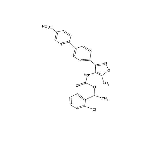 Cc1onc(-c2ccc(-c3ccc(C(=O)O)cn3)cc2)c1NC(=O)OC(C)c1ccccc1Cl